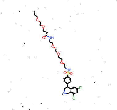 CCCOCCOCCC(=O)NCCOCCOCCOCCNS(=O)(=O)c1ccc(C2CN(C)Cc3c(Cl)cc(Cl)cc32)cc1